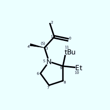 C=C(C)[C@H](C)N1CCCC1(CC)C(C)(C)C